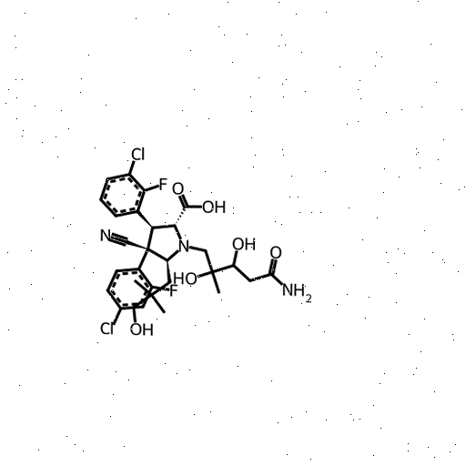 CC(C)(CO)C[C@@H]1N(CC(C)(O)C(O)CC(N)=O)[C@@H](C(=O)O)[C@H](c2cccc(Cl)c2F)[C@@]1(C#N)c1ccc(Cl)cc1F